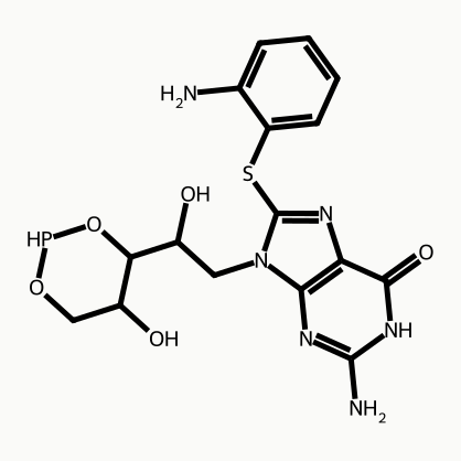 Nc1nc2c(nc(Sc3ccccc3N)n2CC(O)C2OPOCC2O)c(=O)[nH]1